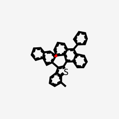 Cc1cccc2c(-c3ccc4ccccc4c3)c(-c3c4ccccc4c(-c4ccccc4)c4ccccc34)sc12